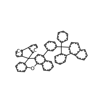 c1ccc(C2(c3cccc(-c4cc5c(c6ccccc46)Oc4ccccc4C54c5ccccc5-c5ccccc54)c3)c3ccccc3-c3c2ccc2ccccc32)cc1